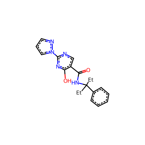 CCC(CC)(NC(=O)c1cnc(-n2cccn2)nc1O)c1ccccc1